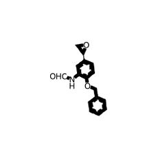 O=CNc1cc([C@@H]2CO2)ccc1OCc1ccccc1